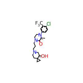 C[C@H]1C(=O)N(CCCN2CCC3(CC3)[C@H](O)C2)CCN1c1ccc(Cl)c(C(F)(F)F)c1